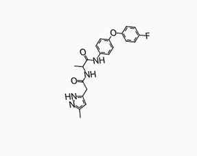 Cc1cc(CC(=O)NC(C)C(=O)Nc2ccc(Oc3ccc(F)cc3)cc2)[nH]n1